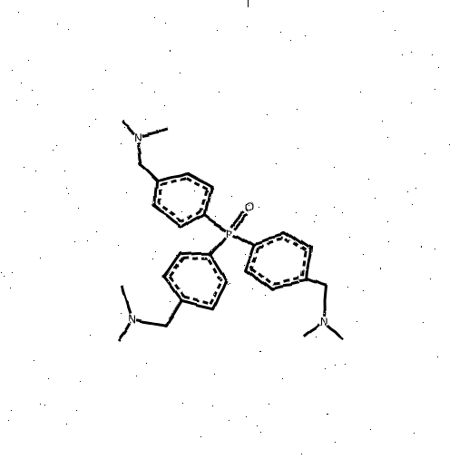 CN(C)Cc1ccc(P(=O)(c2ccc(CN(C)C)cc2)c2ccc(CN(C)C)cc2)cc1